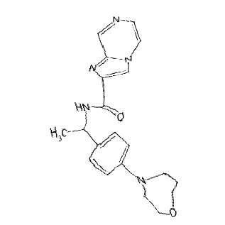 CC(NC(=O)c1cn2ccncc2n1)c1ccc(N2CCOCC2)cc1